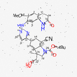 COc1cc2c(cc1Nc1nccc(-c3cc(C#N)c4c(c3)C(C)(CO)CN4C(=O)OC(C)(C)C)n1)NC(=O)CC2